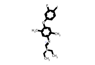 CCN(/C=N/c1cc(C)c(Oc2ccc(I)c(F)c2)cc1C)CC